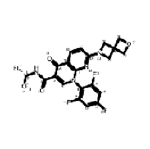 CC[C@H](NC(=O)c1cn(-c2c(F)cc(F)cc2F)c2nc(N3CC4(COC4)C3)ccc2c1=O)C(F)(F)F